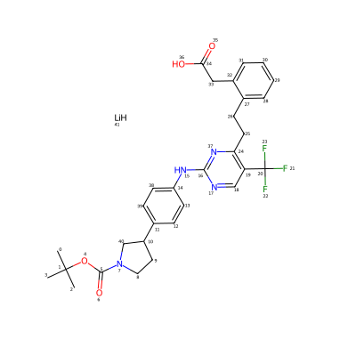 CC(C)(C)OC(=O)N1CCC(c2ccc(Nc3ncc(C(F)(F)F)c(CCc4ccccc4CC(=O)O)n3)cc2)C1.[LiH]